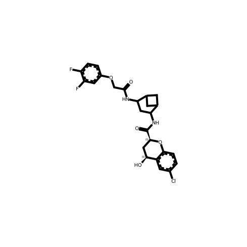 O=C(COc1ccc(F)c(F)c1)NC1CC(NC(=O)[C@@H]2C[C@H](O)c3cc(Cl)ccc3O2)C2CC1C2